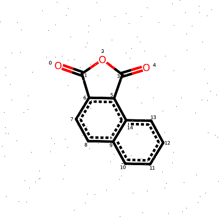 O=C1OC(=O)c2c1ccc1[c]cccc21